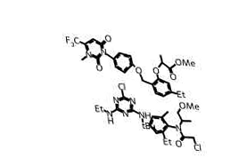 CCNc1nc(Cl)nc(NC(C)(C)C)n1.CCc1ccc(COc2ccc(-n3c(=O)cc(C(F)(F)F)n(C)c3=O)cc2)c(OC(C)C(=O)OC)c1.CCc1cccc(C)c1N(C(=O)CCl)C(C)COC